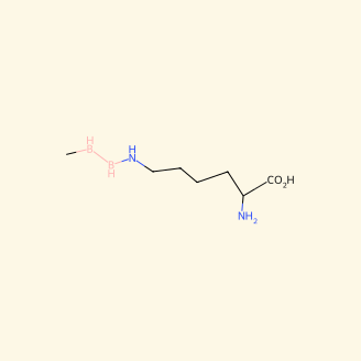 CBBNCCCCC(N)C(=O)O